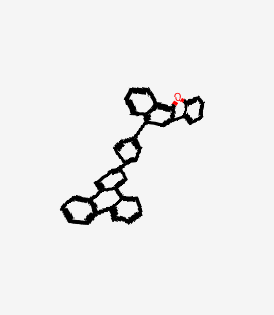 c1ccc2c(c1)oc1c3ccccc3c(-c3ccc(-c4ccc5c6ccccc6c6ccccc6c5c4)cc3)cc21